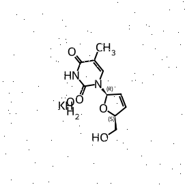 Cc1cn([C@H]2C=C[C@@H](CO)O2)c(=O)[nH]c1=O.O.[KH]